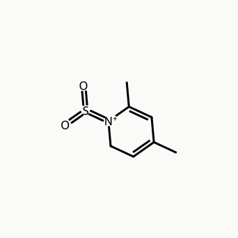 CC1=CC[N+](=S(=O)=O)C(C)=C1